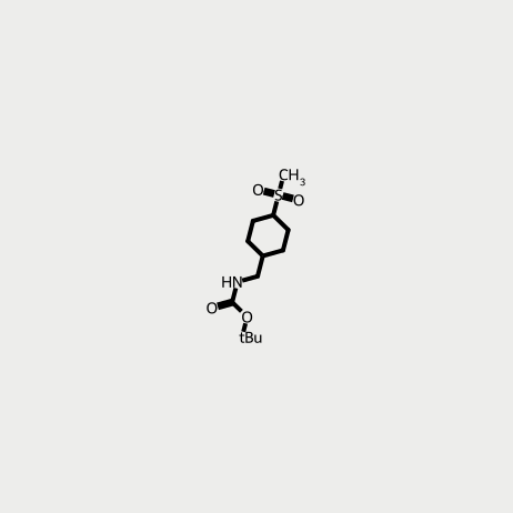 CC(C)(C)OC(=O)NCC1CCC(S(C)(=O)=O)CC1